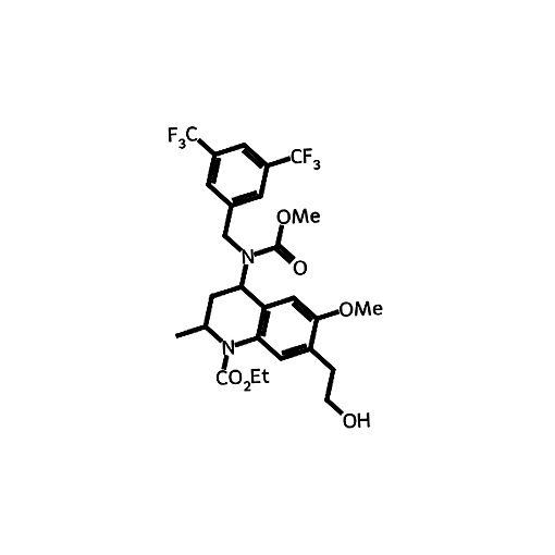 CCOC(=O)N1c2cc(CCO)c(OC)cc2C(N(Cc2cc(C(F)(F)F)cc(C(F)(F)F)c2)C(=O)OC)CC1C